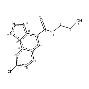 O=C(OCCO)c1cc2ccc(Cl)cc2n2nnnc12